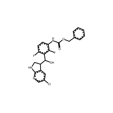 O=C(Nc1ccc(F)c(C(O)C2CNc3ncc(Cl)cc32)c1F)OCc1ccccc1